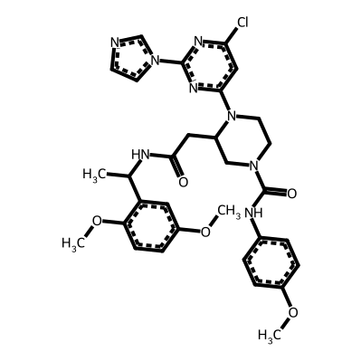 COc1ccc(NC(=O)N2CCN(c3cc(Cl)nc(-n4ccnc4)n3)C(CC(=O)NC(C)c3cc(OC)ccc3OC)C2)cc1